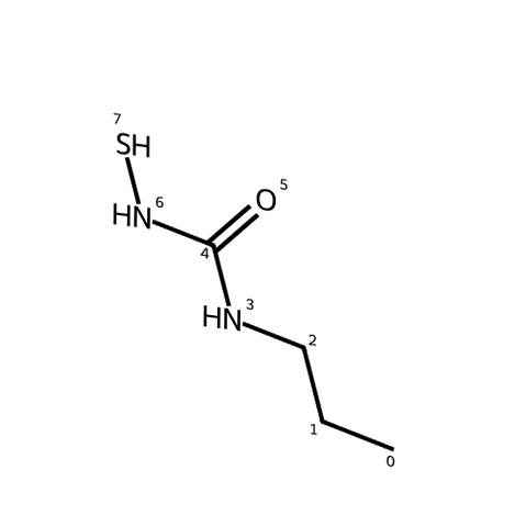 CCCNC(=O)NS